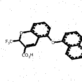 O=C(O)C1=Cc2c(Oc3cccc4ccccc34)cccc2OC1C(F)(F)F